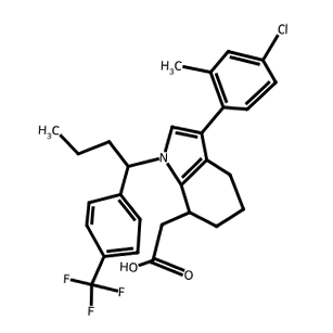 CCCC(c1ccc(C(F)(F)F)cc1)n1cc(-c2ccc(Cl)cc2C)c2c1C(CC(=O)O)CCC2